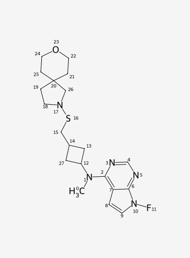 CN(c1ncnc2c1ccn2F)C1CC(CSN2CCC3(CCOCC3)C2)C1